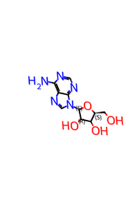 Nc1ncnc2c1ncn2[C@H]1O[C@@H](CO)C(O)[C@H]1O